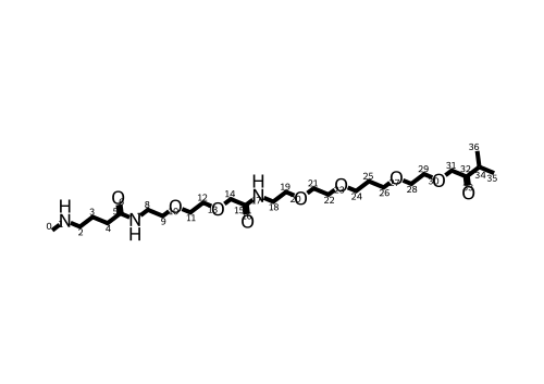 CNCCCC(=O)NCCOCCOCC(=O)NCCOCCOCCCOCCOCC(=O)C(C)C